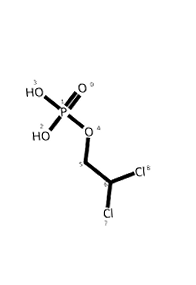 O=P(O)(O)OCC(Cl)Cl